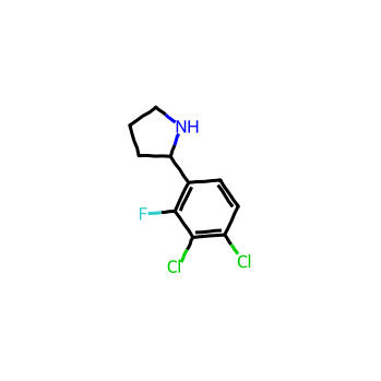 Fc1c(C2CCCN2)ccc(Cl)c1Cl